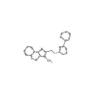 Cn1c(CCc2cccc(-c3ccccn3)n2)nc2c3ccccc3ccc21